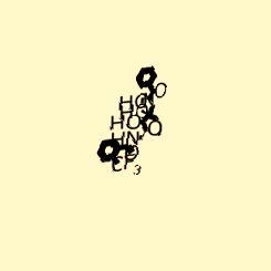 O=C(NC[C@H]1OC[C@@](O)(CN(O)C(=O)c2ccccc2)[C@@H]1O)c1ccccc1C(F)(F)F